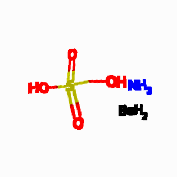 N.O=S(=O)(O)O.[BeH2]